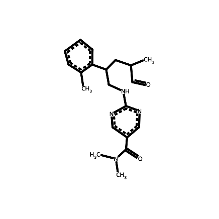 Cc1ccccc1C(CNc1ncc(C(=O)N(C)C)cn1)CC(C)C=O